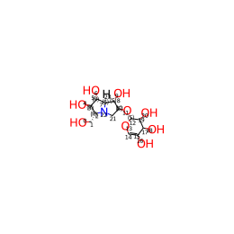 OC[C@@H]1[C@@H](O)[C@H](O)[C@H]2[C@H](O)[C@@H](O[C@H]3OC=C(O)C(O)C3O)CN21